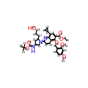 CCOC(=O)c1cc(C2CC2)c2nc(N3C[C@@H](NC(=O)OC(C)(C)C)CC3CCCO)ccc2c1OCc1ccc(OC)cc1OC